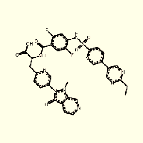 CCc1ncc(-c2ccc(S(=O)(=O)Nc3cc(F)c(C(=O)N[C@@H](Cc4ccc(-n5c(=O)c6ccncc6n5C)cn4)C(=O)O)cc3F)nc2)cn1